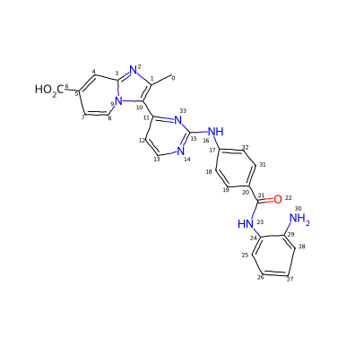 Cc1nc2cc(C(=O)O)ccn2c1-c1ccnc(Nc2ccc(C(=O)Nc3ccccc3N)cc2)n1